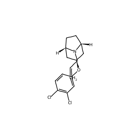 C=CCN1[C@@H]2CC[C@H]1C[C@H](Oc1ccc(Cl)c(Cl)c1)C2